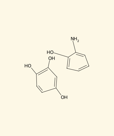 Nc1ccccc1O.Oc1ccc(O)c(O)c1